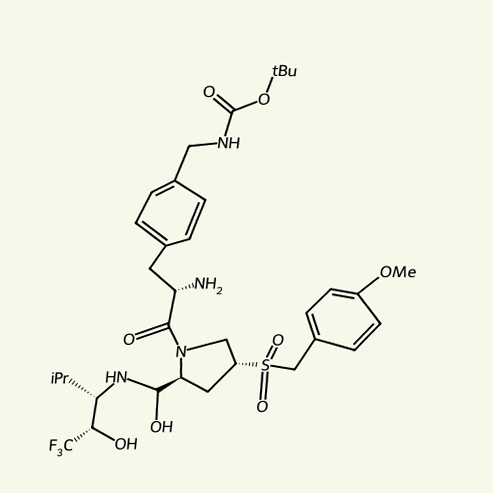 COc1ccc(CS(=O)(=O)[C@@H]2C[C@@H](C(O)N[C@@H](C(C)C)[C@H](O)C(F)(F)F)N(C(=O)[C@@H](N)Cc3ccc(CNC(=O)OC(C)(C)C)cc3)C2)cc1